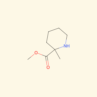 COC(=O)C1(C)CCCCN1